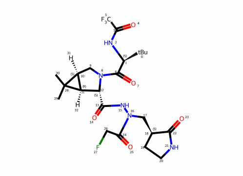 CC(C)(C)[C@H](NC(=O)C(F)(F)F)C(=O)N1C[C@H]2[C@@H]([C@H]1C(=O)NN(C[C@@H]1CCNC1=O)C(=O)CF)C2(C)C